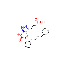 O=C(O)CCCn1nnnc1SC(C(=O)O)c1ccccc1CCCCc1ccccc1